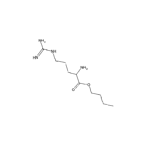 CCCCOC(=O)C(N)CCCNC(=N)N